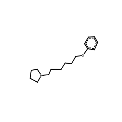 c1ccc(OCCCCCCN2CCCC2)cc1